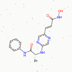 CC(C)[C@@H](Nc1cnc(/C=C/C(=O)NO)cn1)C(=O)Nc1ccccc1